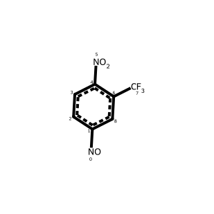 O=Nc1ccc([N+](=O)[O-])c(C(F)(F)F)c1